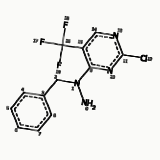 NN(Cc1ccccc1)c1nc(Cl)ncc1C(F)(F)F